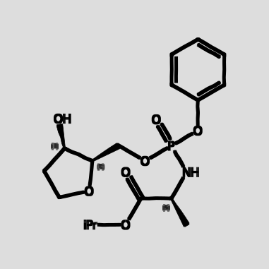 CC(C)OC(=O)[C@H](C)NP(=O)(OC[C@H]1OCC[C@H]1O)Oc1ccccc1